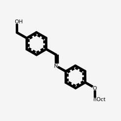 CCCCCCCCOc1ccc(/N=C/c2ccc(CO)cc2)cc1